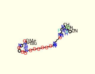 COC(=O)[C@H](CCC(C)(C)C)NCc1ccc(Oc2cccc(OCC(=O)NCCOCCOCCOCCOCCOCCOCc3cn(CCCCCOc4ncc(-c5nc6c(N[C@H](C)c7cc(C#N)ccc7F)c(Cl)c(C)nc6cc5F)cn4)nn3)c2)nc1